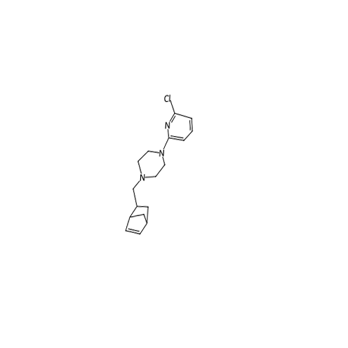 Clc1cccc(N2CCN(CC3CC4C=CC3C4)CC2)n1